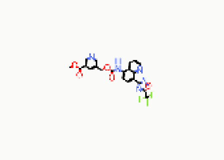 COC(=O)c1cncc(COC(=O)Nc2ccc(-c3noc(C(F)(F)F)n3)c3ncccc23)c1